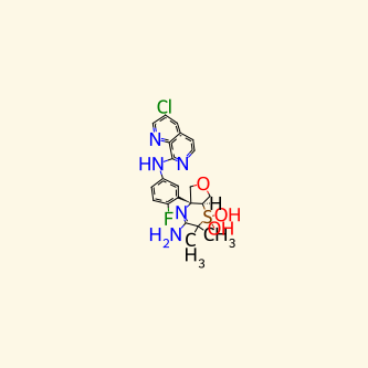 CC1(C)C(N)=N[C@]2(c3cc(Nc4nccc5cc(Cl)cnc45)ccc3F)COC[C@H]2S1(O)O